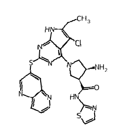 CCc1[nH]c2nc(Sc3cnc4cccnc4c3)nc(N3C[C@@H](N)[C@@H](C(=O)Nc4nccs4)C3)c2c1Cl